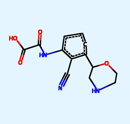 N#Cc1c(NC(=O)C(=O)O)cccc1C1CNCCO1